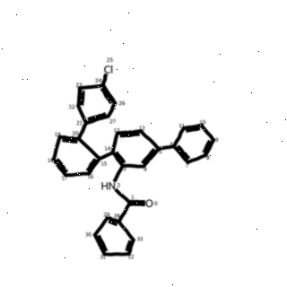 O=C(Nc1cc(-c2ccccc2)ccc1-c1ccccc1-c1ccc(Cl)cc1)c1ccccc1